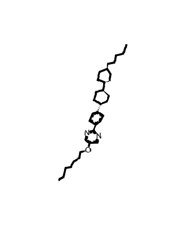 CCCCCCCOc1cnc(-c2ccc([C@H]3CC[C@H]([C@H]4CC[C@H](CCCCC)CC4)CC3)cc2)nc1